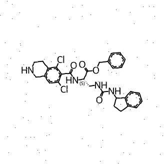 O=C(NC[C@H](NC(=O)c1c(Cl)cc2c(c1Cl)CCNC2)C(=O)OCc1ccccc1)NC1CCc2ccccc21